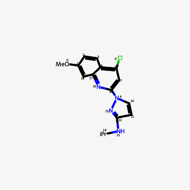 COc1ccc2c(Cl)cc(-n3ccc(NC(C)C)n3)nc2c1